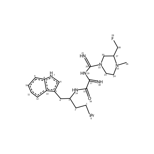 CC(C)CCC(Cc1c[nH]c2ccccc12)NC(=O)C(=N)NC(=N)N1CCN(C)C(CF)C1